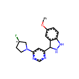 CC(C)Oc1ccc2c(c1)C(c1cc(N3CC[C@@H](F)C3)ncn1)NN2